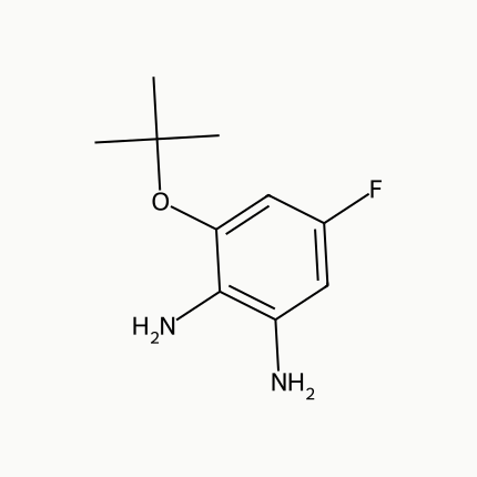 CC(C)(C)Oc1cc(F)cc(N)c1N